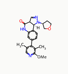 COc1ncc(C)c(-c2ccc3c(c2)NC(=O)C2C=NN([C@H]4CCOC4)[C@@H]32)c1C